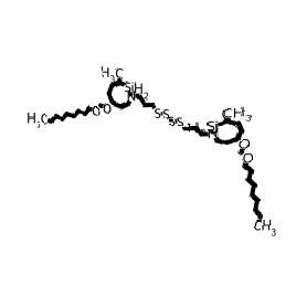 CCCCCCCCCOCOC1CCC(C)[SiH2]N(CCCSSSSCCCN2CCC(OCOCCCCCCCCC)CCC(C)[SiH2]2)CC1